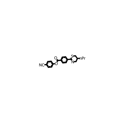 CCCC1CN=C(c2ccc(C(=O)Oc3ccc(C#N)cc3)cc2)SC1